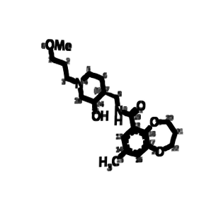 COCCCN1CC[C@@H](CNC(=O)c2cc(C)cc3c2OCCCO3)C(O)C1